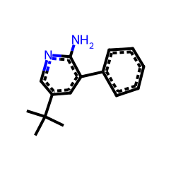 CC(C)(C)c1cnc(N)c(-c2ccccc2)c1